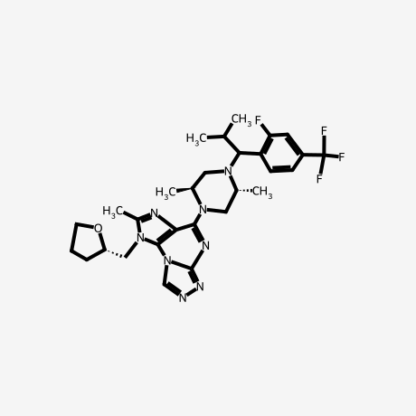 Cc1nc2c(N3C[C@@H](C)N(C(c4ccc(C(F)(F)F)cc4F)C(C)C)C[C@@H]3C)nc3nncn3c2n1C[C@@H]1CCCO1